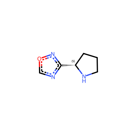 c1nc([C@@H]2CCCN2)no1